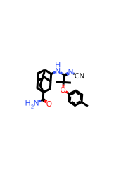 Cc1ccc(OC(C)(C)/C(=N\C#N)NC2C3CC4CC2CC(C(N)=O)(C4)C3)cc1